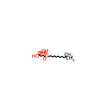 CC(C)CCCCCCCCCOC(=O)C(CC(=O)O)S(=O)(=O)O